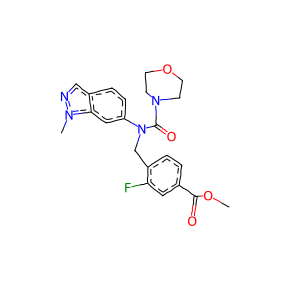 COC(=O)c1ccc(CN(C(=O)N2CCOCC2)c2ccc3cnn(C)c3c2)c(F)c1